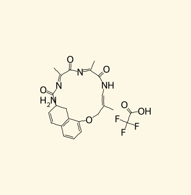 C/C1=C\NC(=O)/C(C)=N/C(=O)/C(C)=N/C(=O)C2(N)C=Cc3cccc(c3C2)OC1.O=C(O)C(F)(F)F